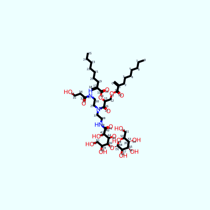 C=C(CCCCCCC)C(=O)OCC(OC(=O)C(=C)CCCCCCC)C(=O)N(CCNC(=O)CCO)CCNC(=O)C(O)C(O)C(O[C@@H]1OC(CO)[C@H](O)[C@H](O)C1O)C(O)CO